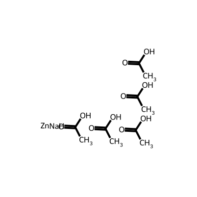 CC(=O)O.CC(=O)O.CC(=O)O.CC(=O)O.CC(=O)O.[NaH].[Zn]